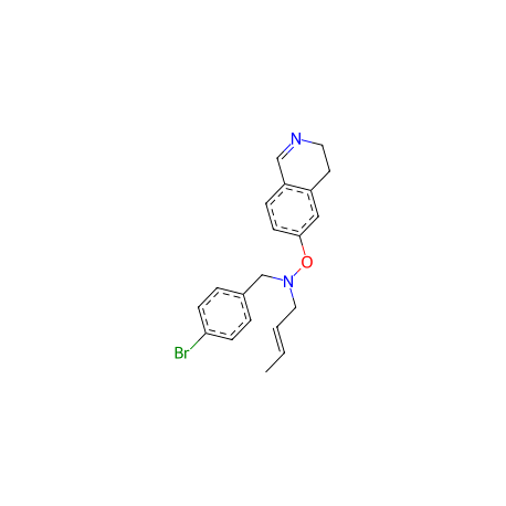 CC=CCN(Cc1ccc(Br)cc1)Oc1ccc2c(c1)CCN=C2